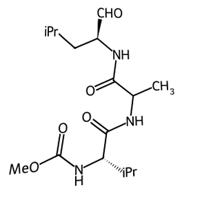 COC(=O)N[C@H](C(=O)NC(C)C(=O)N[C@H](C=O)CC(C)C)C(C)C